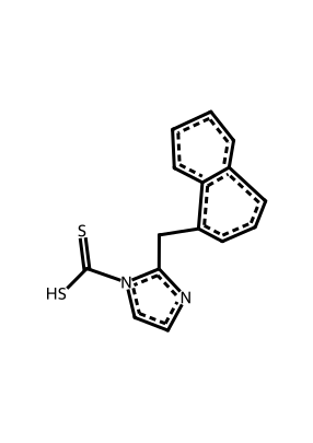 S=C(S)n1ccnc1Cc1cccc2ccccc12